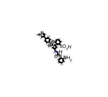 Cn1cc(-c2ccc(S(=O)(=O)n3ccc(/C=C/C(=O)Nc4ccccc4N)c3)cc2)cn1.O=S(=O)(O)c1ccccc1